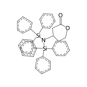 O=C1CC(N([Si](c2ccccc2)(c2ccccc2)c2ccccc2)[Si](c2ccccc2)(c2ccccc2)c2ccccc2)CCO1